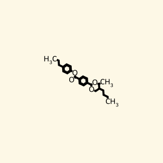 CCCCC1COC(c2ccc(C(=O)Oc3ccc(CCC)cc3)cc2)OC1C